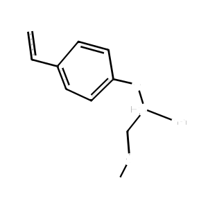 C=Cc1ccc(O[SiH](CCC)COCC)cc1